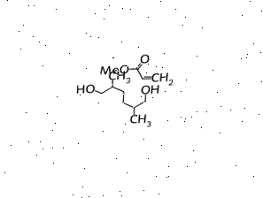 C=CC(=O)OC.CC(CO)CCC(C)CO